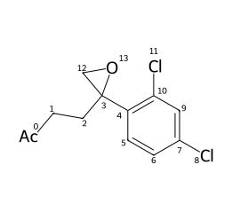 CC(=O)CCC1(c2ccc(Cl)cc2Cl)CO1